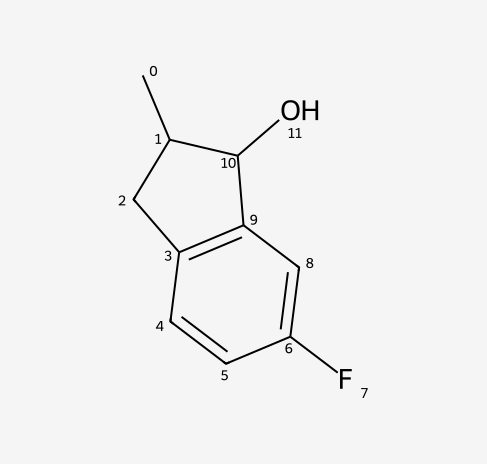 CC1Cc2ccc(F)cc2C1O